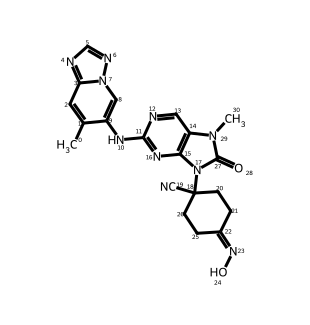 Cc1cc2ncnn2cc1Nc1ncc2c(n1)n(C1(C#N)CCC(=NO)CC1)c(=O)n2C